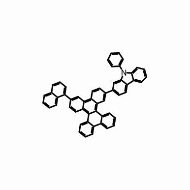 c1ccc(-n2c3ccccc3c3ccc(-c4ccc5c6cc(-c7cccc8ccccc78)ccc6c6c7ccccc7c7ccccc7c6c5c4)cc32)cc1